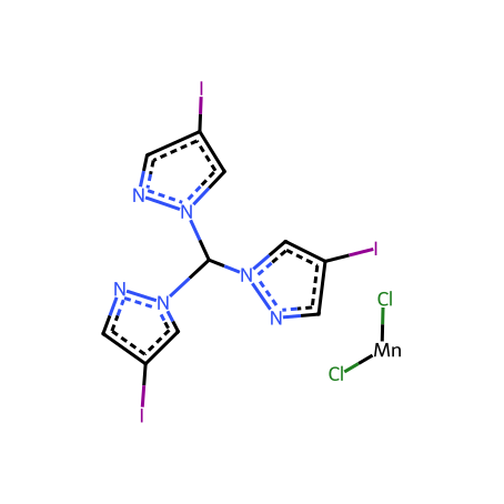 Ic1cnn(C(n2cc(I)cn2)n2cc(I)cn2)c1.[Cl][Mn][Cl]